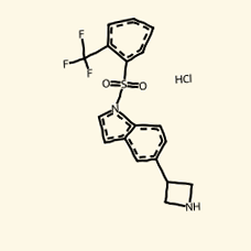 Cl.O=S(=O)(c1ccccc1C(F)(F)F)n1ccc2cc(C3CNC3)ccc21